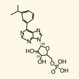 CC(C)c1cccc(-c2ncnc3c2ncn3[C@@H]2OC(COP(=O)(O)O)[C@@H](O)[C@H]2O)c1